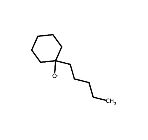 CCCCCC1([O])CCCCC1